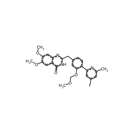 COCOc1cc(Cc2nc3cc(OC)c(OC)cc3c(=O)[nH]2)ccc1-c1cc(F)cc(C)n1